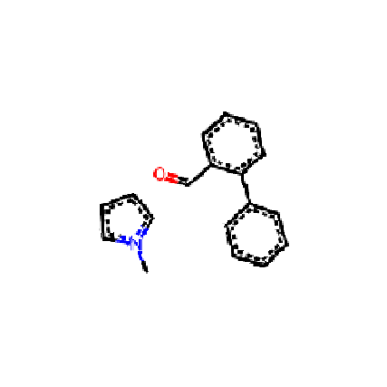 Cn1cccc1.O=Cc1ccccc1-c1ccccc1